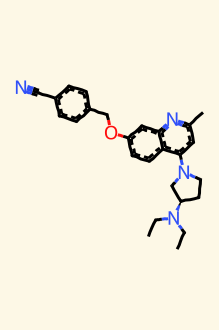 CCN(CC)[C@@H]1CCN(c2cc(C)nc3cc(OCc4ccc(C#N)cc4)ccc23)C1